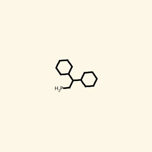 PCC(C1CCCCC1)C1CCCCC1